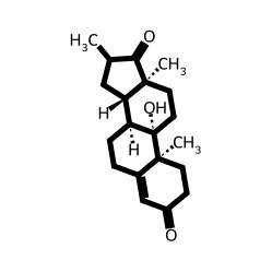 CC1C[C@H]2[C@@H]3CCC4=CC(=O)CC[C@]4(C)[C@]3(O)CC[C@]2(C)C1=O